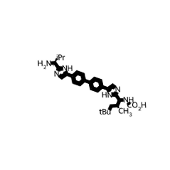 CC(C)[C@H](N)c1ncc(-c2ccc(-c3ccc(-c4cnc(C(NC(=O)O)[C@@H](C)CC(C)(C)C)[nH]4)cc3)cc2)[nH]1